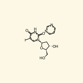 O=c1[nH]c(=O)n([C@H]2C[C@H](O)[C@@H](CO)O2)cc1I.c1cncnc1